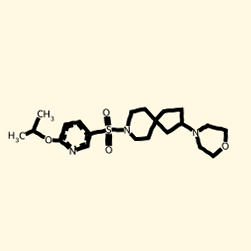 CC(C)Oc1ccc(S(=O)(=O)N2CCC3(CCC(N4CCOCC4)C3)CC2)cn1